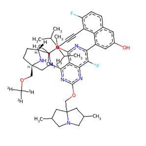 [2H]C([2H])([2H])OC[C@]12CC[C@H](CN(c3nc(OCC45CC(C)CN4CC(C)C5)nc4c(F)c(-c5cc(O)cc6ccc(F)c(C#C[Si](C(C)C)(C(C)C)C(C)C)c56)nc(OC)c34)C1)N2